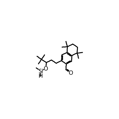 C[SiH](C)OC(CCc1cc2c(cc1C=O)C(C)(C)CCC2(C)C)C(C)(C)C